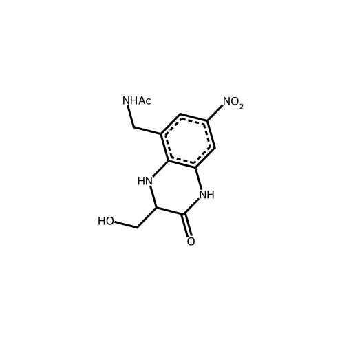 CC(=O)NCc1cc([N+](=O)[O-])cc2c1NC(CO)C(=O)N2